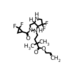 C=CCOC(=O)C(C)(C)CCN1[C@@H]2[C@H](CN1C(=O)C1CC1(F)F)NCC2(F)F